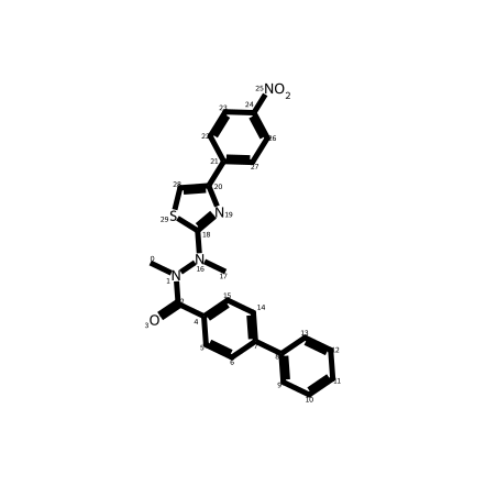 CN(C(=O)c1ccc(-c2ccccc2)cc1)N(C)c1nc(-c2ccc([N+](=O)[O-])cc2)cs1